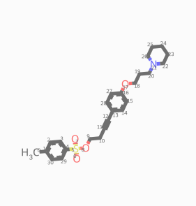 Cc1ccc(S(=O)(=O)OCCC#Cc2ccc(OCCCN3CCCCC3)cc2)cc1